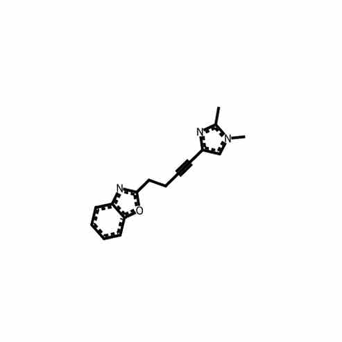 Cc1nc(C#CCCc2nc3ccccc3o2)cn1C